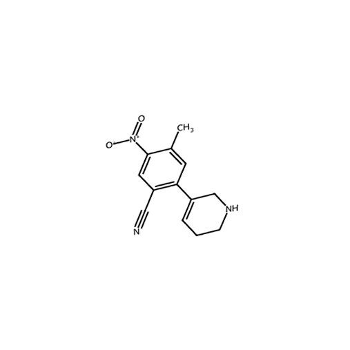 Cc1cc(C2=CCCNC2)c(C#N)cc1[N+](=O)[O-]